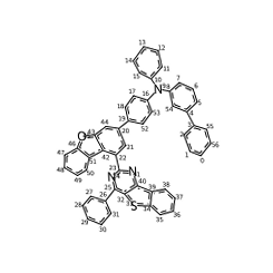 c1ccc(-c2cccc(N(c3ccccc3)c3ccc(-c4cc(-c5nc(-c6ccccc6)c6sc7ccccc7c6n5)c5c(c4)oc4ccccc45)cc3)c2)cc1